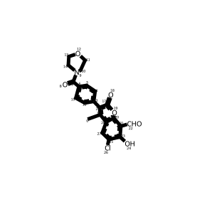 Cc1c(-c2ccc(C(=O)N3CCOCC3)cc2)c(=O)oc2c(C=O)c(O)c(Cl)cc12